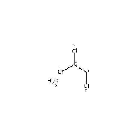 ClCC(Cl)Cl.O